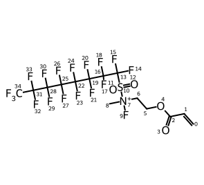 C=CC(=O)OCC[N+](C)(F)S(=O)(=O)C(F)(F)C(F)(F)C(F)(F)C(F)(F)C(F)(F)C(F)(F)C(F)(F)C(F)(F)F